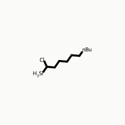 CCCCCCCCCC([SiH3])Cl